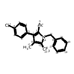 CC(=O)c1c(-c2ccc(Cl)cc2)c(C)c(C(F)(F)F)n1Cc1ccccc1